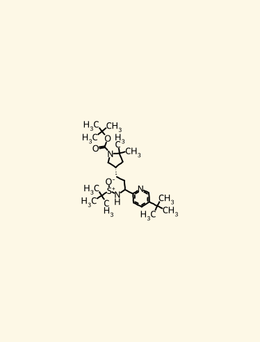 CC(C)(C)OC(=O)N1C[C@@H](CCC(N[S+]([O-])C(C)(C)C)c2ccc(C(C)(C)C)cn2)CC1(C)C